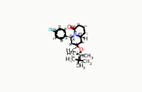 CC(C)(C)[Si](C)(C)O[C@]1(C)C[C@H]2CCCC(=O)N2[C@H](c2ccc(F)cc2)C1